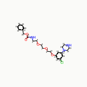 O=C(NCCOCCOCCOc1cc(Cl)cc(N2CCNCC2)c1)OCc1ccccc1